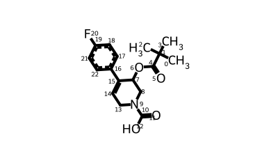 CC(C)(C)C(=O)OC1CN(C(=O)O)CC=C1c1ccc(F)cc1